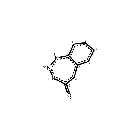 O=c1cc2ccccc2nnn1